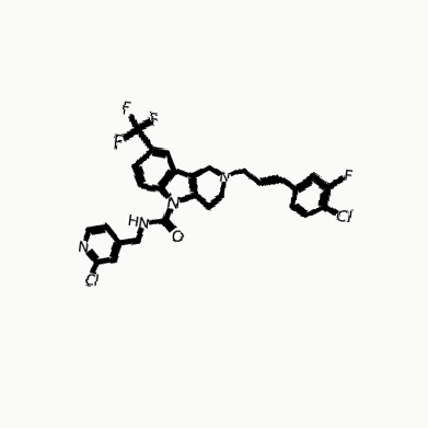 O=C(NCc1ccnc(Cl)c1)n1c2c(c3cc(C(F)(F)F)ccc31)CN(C/C=C/c1ccc(Cl)c(F)c1)CC2